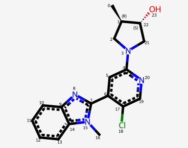 C[C@@H]1CN(c2cc(-c3nc4ccccc4n3C)c(Cl)cn2)C[C@H]1O